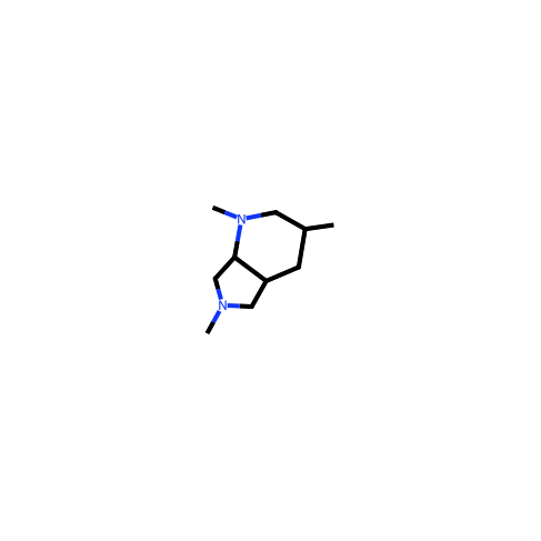 CC1CC2CN(C)CC2N(C)C1